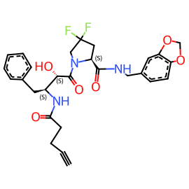 C#CCCC(=O)N[C@@H](Cc1ccccc1)[C@H](O)C(=O)N1CC(F)(F)C[C@H]1C(=O)NCc1ccc2c(c1)OCO2